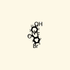 O=C(c1cc(Br)ccc1F)N1CCC(O)CC1